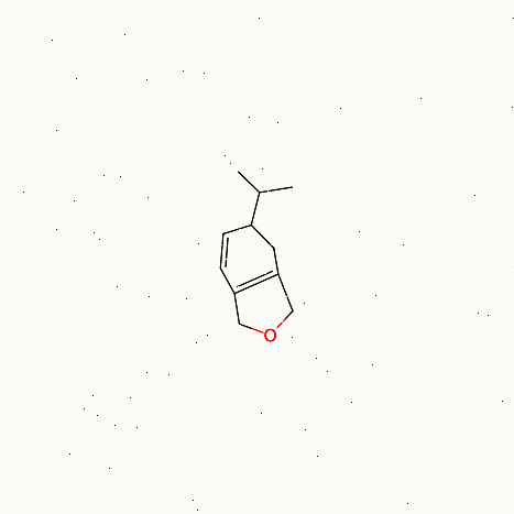 CC(C)C1C=CC2=C(COC2)C1